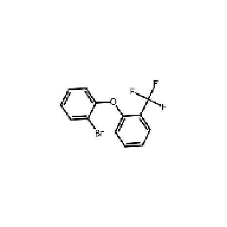 FC(F)(F)c1ccccc1Oc1ccccc1Br